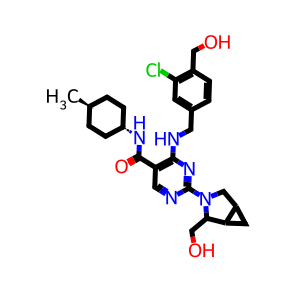 C[C@H]1CC[C@H](NC(=O)c2cnc(N3CC4CC4C3CO)nc2NCc2ccc(CO)c(Cl)c2)CC1